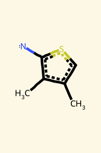 Cc1csc([N])c1C